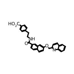 O=C(O)c1ccc(CCNC(=O)c2ccc3ccc(OCc4ccc5ccccc5n4)cc3c2)cc1